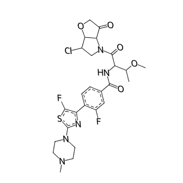 COC(C)C(NC(=O)c1ccc(-c2nc(N3CCN(C)CC3)sc2F)c(F)c1)C(=O)N1CC(Cl)C2OCC(=O)C21